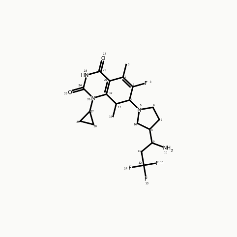 CC1=C(F)C(N2CCC(C(N)CC(F)(F)F)C2)C(C)c2c1c(=O)[nH]c(=O)n2C1CC1